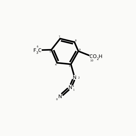 [N-]=[N+]=Nc1cc(C(F)(F)F)ccc1C(=O)O